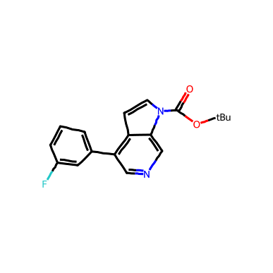 CC(C)(C)OC(=O)n1ccc2c(-c3cccc(F)c3)cncc21